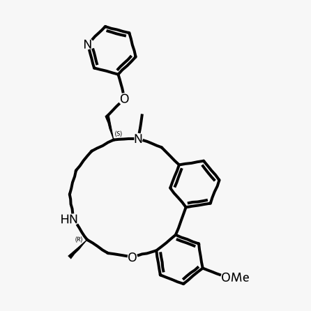 COc1ccc2c(c1)-c1cccc(c1)CN(C)[C@H](COc1cccnc1)CCCN[C@H](C)CO2